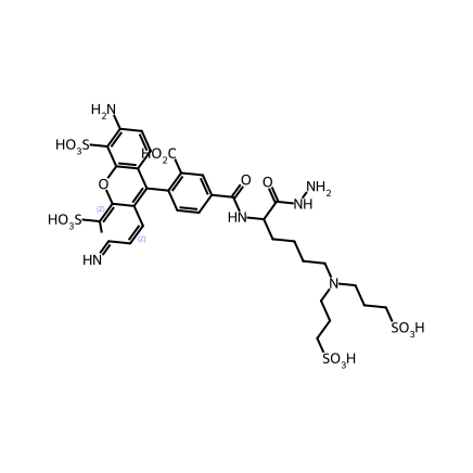 C/C(=C1/Oc2c(ccc(N)c2S(=O)(=O)O)C(c2ccc(C(=O)NC(CCCCN(CCCS(=O)(=O)O)CCCS(=O)(=O)O)C(=O)NN)cc2C(=O)O)=C1/C=C\C=N)S(=O)(=O)O